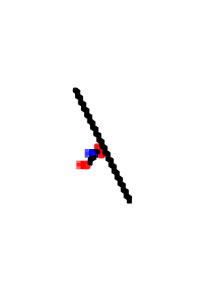 CCCCCCCCCCCCCCCCCCC(CCCCCCCCCCCCCCCCCC)OC(=O)NCCCO